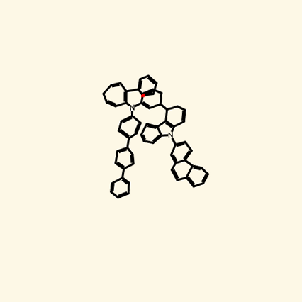 C1=CC(c2ccccc2)=C(N(C2=CC(C3CC=Cc4c3c3ccccc3n4-c3ccc4c(ccc5ccccc54)c3)CC=C2)c2ccc(-c3ccc(-c4ccccc4)cc3)cc2)C=CC1